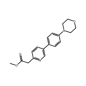 COC(=O)Cc1ccc(-c2ccc(N3CCOCC3)cc2)cn1